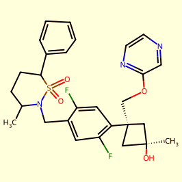 CC1CCC(c2ccccc2)S(=O)(=O)N1Cc1cc(F)c([C@]2(COc3cnccn3)C[C@](C)(O)C2)cc1F